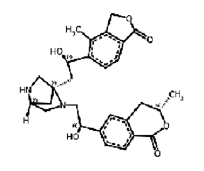 Cc1c([C@H](O)C[C@]23CN[C@@H](CN2C[C@H](O)c2ccc4c(c2)C[C@H](C)OC4=O)C3)ccc2c1COC2=O